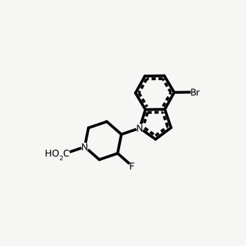 O=C(O)N1CCC(n2ccc3c(Br)cccc32)C(F)C1